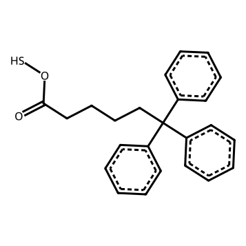 O=C(CCCCC(c1ccccc1)(c1ccccc1)c1ccccc1)OS